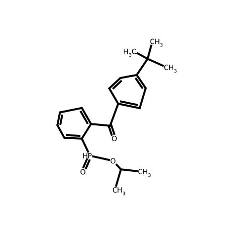 CC(C)O[PH](=O)c1ccccc1C(=O)c1ccc(C(C)(C)C)cc1